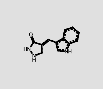 O=C1NNCC1=Cc1c[nH]c2ccccc12